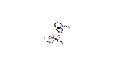 CN1CCCCc2cc(B3OC(C)(C)C(C)(C)O3)ccc21